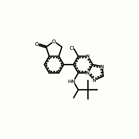 CC(Nc1c(-c2cccc3c2COC3=O)c(Cl)nc2ncnn12)C(C)(C)C